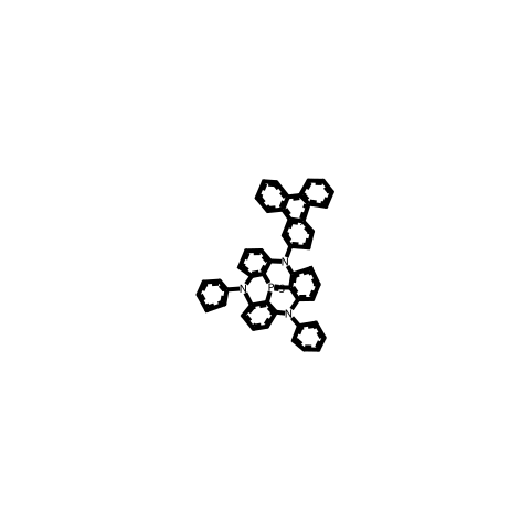 S=P12c3c4cccc3N(c3ccccc3)c3cccc(c31)N(c1ccc3c5ccccc5c5ccccc5c3c1)c1cccc(c12)N4c1ccccc1